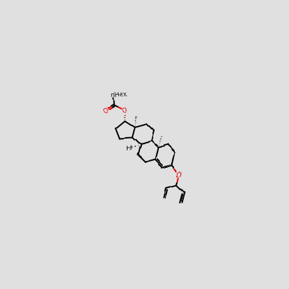 C=CC(C=C)OC1C=C2CC[C@@H]3C(CC[C@@]4(C)C3CC[C@@H]4OC(=O)CCCCCC)[C@@]2(C)CC1